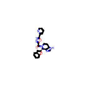 O=C(c1nnc(-c2ccccn2)o1)N1CCc2[nH]cnc2[C@H]1c1cc2ccccc2o1